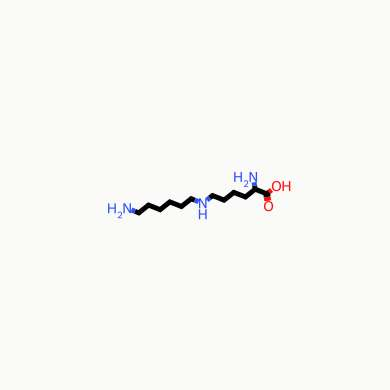 NCCCCCCNCCCCC(N)C(=O)O